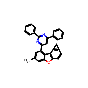 Cc1cc(-c2cc(-c3ccccc3)nc(-c3ccccc3)n2)c2c(c1)oc1ccc3c(c12)C3